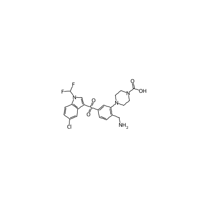 NCc1ccc(S(=O)(=O)c2cn(C(F)F)c3ccc(Cl)cc23)cc1N1CCN(C(=O)O)CC1